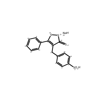 O=S(=O)(O)c1ccc(Cc2c(-c3ccccc3)ssc2=S)cc1.[NaH]